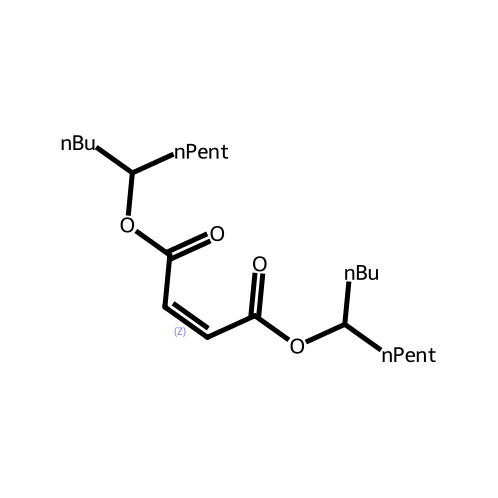 CCCCCC(CCCC)OC(=O)/C=C\C(=O)OC(CCCC)CCCCC